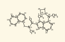 Cc1c(C(=O)N(C)Cc2cccc3ncccc23)sc2ncnc(N(C)C3CCC3)c12